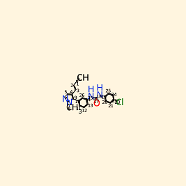 C#CC=Cc1cnn(C)c1-c1cccc(NC(=O)Nc2ccc(Cl)cc2)c1